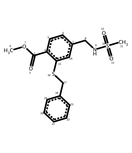 COC(=O)c1ccc(CNS(C)(=O)=O)cc1SCc1ccccc1